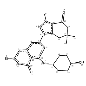 CCc1cc2cc(-n3nc(C)c4c3CC(C)(C)CC4=O)cc(N[C@H]3CC[C@H](O)CC3)c2c(=O)[nH]1